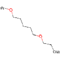 CCCOCCCCCOCCOC